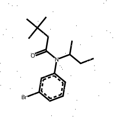 CCC(C)N(C(=O)CC(C)(C)C)c1cccc(Br)c1